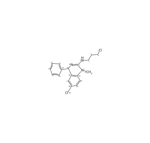 CN1C(NCCCCl)=NC(c2ccccc2)c2cc(Cl)ccc21